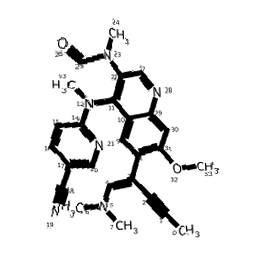 CC#C/C(=C\N(C)C)c1cc2c(N(C)c3ccc(C#N)cn3)c(N(C)C=O)cnc2cc1OC